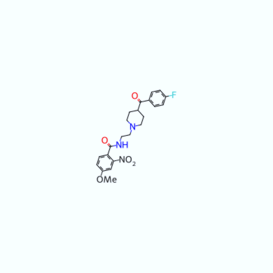 COc1ccc(C(=O)NCCN2CCC(C(=O)c3ccc(F)cc3)CC2)c([N+](=O)[O-])c1